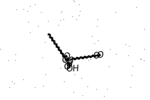 CCCCCCCCCCCCCCCC(=O)O[C@H](COP(C)(=O)O)CSCCCCCCCCCCCCOC=O